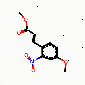 COC(=O)/C=C/c1ccc(OC)cc1[N+](=O)[O-]